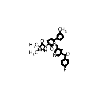 CN[C@@H](C)C(=O)Nc1ccc(-c2cccc(C)c2)n(Cc2cncc(C(=O)c3ccc(F)cc3)c2)c1=O